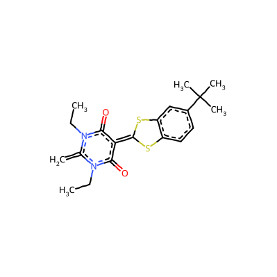 C=c1n(CC)c(=O)c(=C2Sc3ccc(C(C)(C)C)cc3S2)c(=O)n1CC